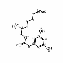 CCCCCCCCCCCCCCC(C)COC(=O)Cc1cc(O)cc(O)c1